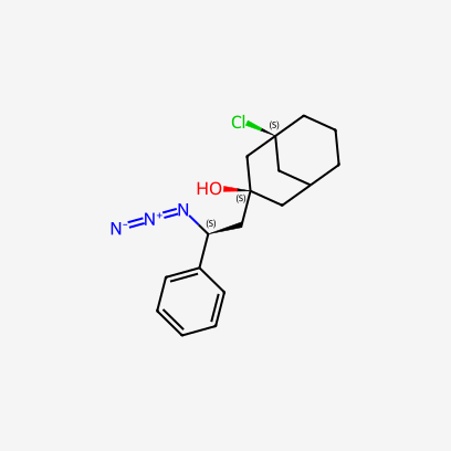 [N-]=[N+]=N[C@@H](C[C@@]1(O)CC2CCC[C@](Cl)(C2)C1)c1ccccc1